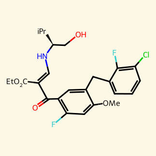 CCOC(=O)C(=CN[C@H](CO)C(C)C)C(=O)c1cc(Cc2cccc(Cl)c2F)c(OC)cc1F